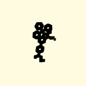 Cn1c(=O)n(C(c2ccccc2)(c2ccccc2)c2ccccc2)c2ncc(-c3ccc(C(=O)OC(C)(C)C)cc3)cc21